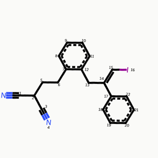 N#CC(C#N)CCc1ccccc1CC(=CI)c1ccccc1